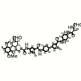 COc1cc(C)c(/N=C\[C@@H]2CCCCN2C=O)cc1OCCCC(=O)Nc1cc(C(=O)Nc2ccc(-c3cc(C(=O)Nc4ccc(NC(=O)[C@H](C)NC=O)cc4)n(C)c3)cc2)n(C)c1